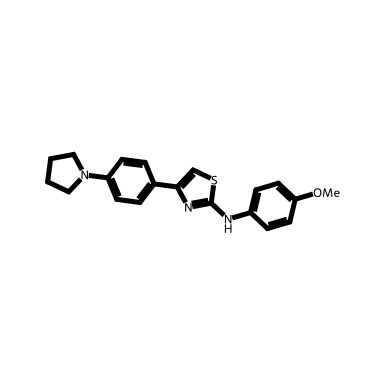 COc1ccc(Nc2nc(-c3ccc(N4CCCC4)cc3)cs2)cc1